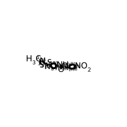 C[C@H]1CSC(c2nc3ccc(NC(=O)OCc4ccc([N+](=O)[O-])cc4)cc3s2)=N1